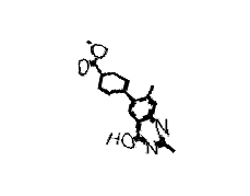 COC(=O)C1CCC(c2cc3c(O)nc(C)nc3cc2C)CC1